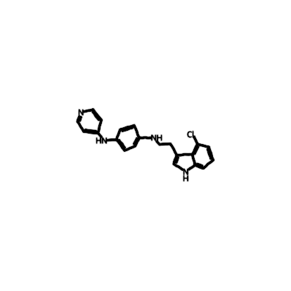 Clc1cccc2[nH]cc(CCNc3ccc(Nc4ccncc4)cc3)c12